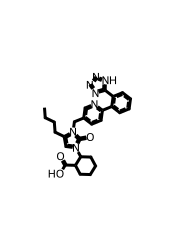 CCCCc1cn(C2CCCCC2C(=O)O)c(=O)n1Cc1ccc(-c2ccccc2-c2nnn[nH]2)nc1